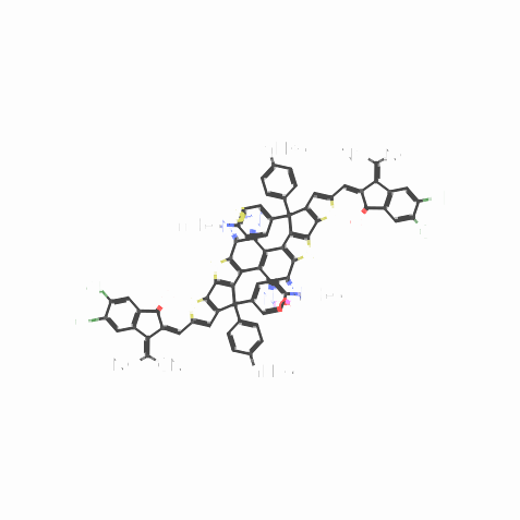 [C-]#[N+]/C(C#N)=C1/C(=C/c2cc3c(s2)-c2sc4c5nonc5c5c6c7c(sc6c6nsnc6c5c4c2C3(c2ccc(CCCCCC)cc2)c2ccc(CCCCCC)cc2)-c2sc(/C=C3\C(=O)c4cc(Cl)c(Cl)cc4C3=C(C#N)C#N)cc2C7(c2ccc(CCCCCC)cc2)c2ccc(CCCCCC)cc2)C(=O)c2cc(Cl)c(Cl)cc21